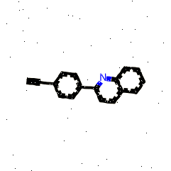 C#Cc1ccc(-c2c[c]c3ccccc3n2)cc1